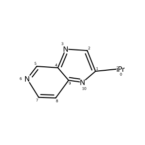 CC(C)c1cnc2cnccc2n1